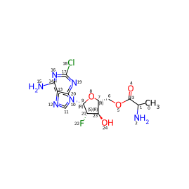 CC(N)C(=O)OC[C@H]1O[C@@H](n2cnc3c(N)nc(Cl)nc32)[C@@H](F)[C@@H]1O